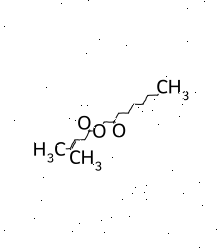 CCCCCCCC(=O)COC(=O)CC=C(C)C